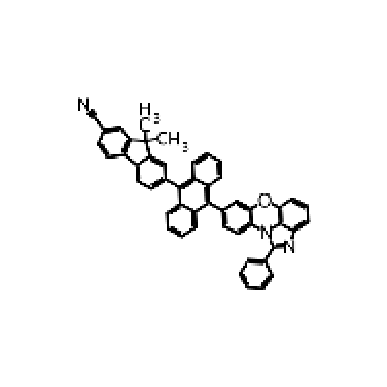 CC1(C)c2cc(C#N)ccc2-c2ccc(-c3c4ccccc4c(-c4ccc5c(c4)Oc4cccc6nc(-c7ccccc7)n-5c46)c4ccccc34)cc21